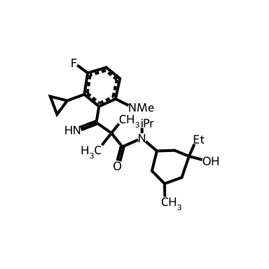 CCC1(O)CC(C)CC(N(C(=O)C(C)(C)C(=N)c2c(NC)ccc(F)c2C2CC2)C(C)C)C1